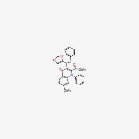 COC(=O)c1c(C(Cc2ccccc2)C2=COCO2)c(=O)c2ccc(OC)cc2n1-c1ccccc1